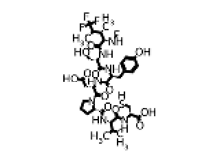 CC(C)[C@H](NC(=O)[C@@H]1CCCN1C(=O)[C@H](CC(=O)O)NC(=O)[C@H](Cc1ccc(O)cc1)NC(=O)[C@H](CO)NC(=O)[C@@H](NF)[C@@H](C)C(C)C(F)(F)F)C(=O)N[C@@H](CS)C(=O)O